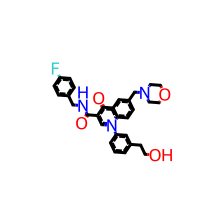 O=C(NCc1ccc(F)cc1)c1cn(-c2cccc(CCO)c2)c2ccc(CN3CCOCC3)cc2c1=O